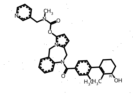 CC1=C(c2ccc(C(=O)N3Cc4ccc(OC(=O)N(C)Cc5cccnc5)n4Cc4ccccc43)cc2C)CCC[C@H]1O